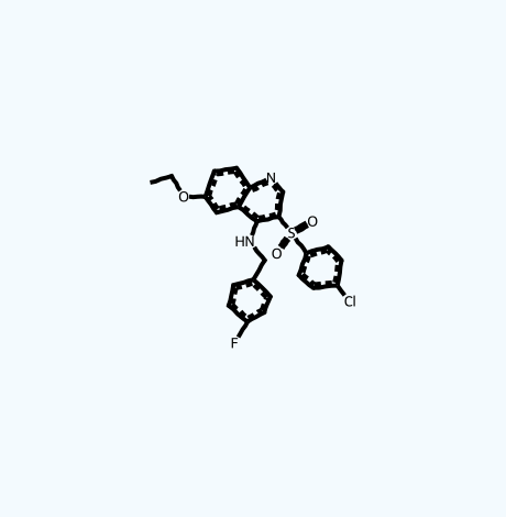 CCOc1ccc2ncc(S(=O)(=O)c3ccc(Cl)cc3)c(NCc3ccc(F)cc3)c2c1